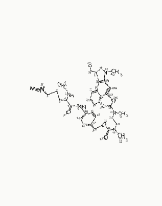 CNCCCC(NC=O)C(=O)Nc1ccc(COC(=O)N(C)CCN(C)C(=O)Oc2cc3c(c4ccccc24)C(CCl)CN3C)cc1